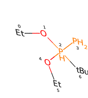 CCO[PH](P)(OCC)C(C)(C)C